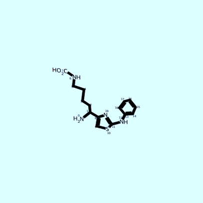 NC(CCCCNC(=O)O)c1csc(Nc2ccccc2)n1